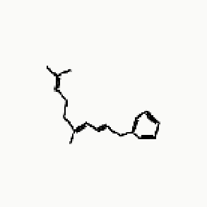 CC(C)=CCC/C(C)=C/C=C/Cc1ccccc1